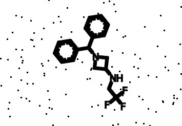 FC(F)(F)CNC1CN(C(c2ccccc2)c2ccccc2)C1